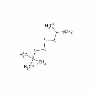 [CH2]C(C)CCCCC(C)(C)C